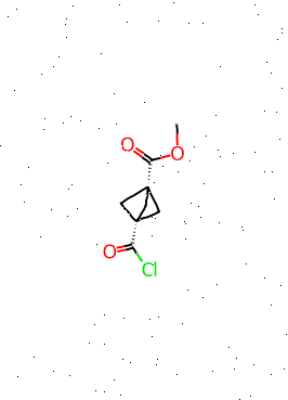 COC(=O)[C@]12C[C@](C(=O)Cl)(C1)C2